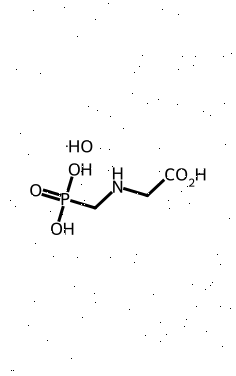 O=C(O)CNCP(=O)(O)O.[OH]